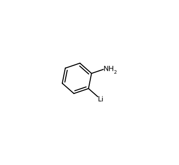 [Li][c]1ccccc1N